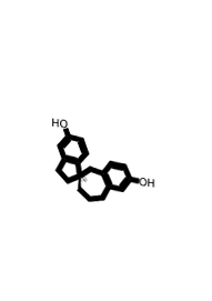 Oc1ccc2c(c1)CCC[C@]1(CCc3cc(O)ccc31)C2